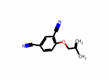 C=C(C)COc1ccc(C#N)cc1C#N